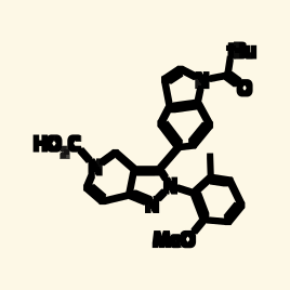 COc1cccc(C)c1-n1nc2c(c1-c1ccc3c(ccn3C(=O)C(C)(C)C)c1)CN(C(=O)O)C=C2